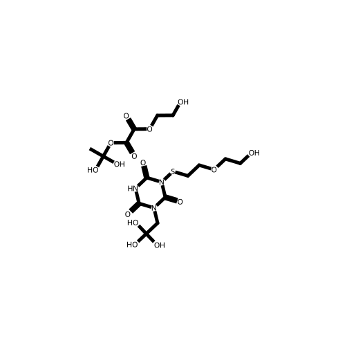 CC(O)(O)OC(=O)C(=O)OCCO.O=c1[nH]c(=O)n(SCCOCCO)c(=O)n1CC(O)(O)O